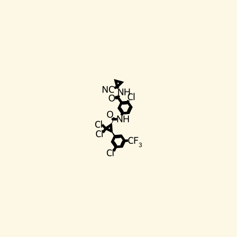 N#CC1(NC(=O)c2cc(NC(=O)[C@@H]3[C@@H](c4cc(Cl)cc(C(F)(F)F)c4)C3(Cl)Cl)ccc2Cl)CC1